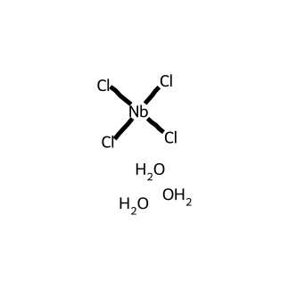 O.O.O.[Cl][Nb]([Cl])([Cl])[Cl]